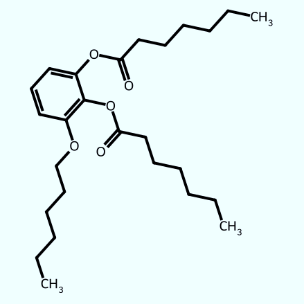 CCCCCCOc1cccc(OC(=O)CCCCCC)c1OC(=O)CCCCCC